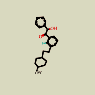 CCCC1CCC(CCc2cccc(C(=O)C(O)c3ccccc3)c2F)CC1